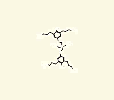 CCCCc1cc(SC[Si](CC)(CC)CSc2cc(CCCC)c(O)c(CCCC)c2)cc(CCCC)c1O